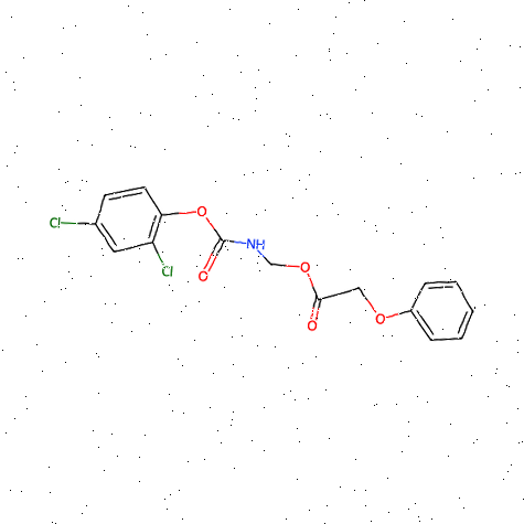 O=C(COc1ccccc1)OCNC(=O)Oc1ccc(Cl)cc1Cl